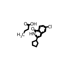 CCCC(=O)O.O=c1[nH]c(C2CCCC2)cc2cc(Cl)ccc12